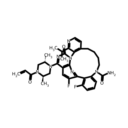 C=CC(=O)N1C[C@H](C)N(c2nc(=O)n3c4nc(c(F)cc24)-c2c(F)cccc2N(C(N)=O)CCCCc2ccnc(C(C)C)c2-3)C[C@H]1C